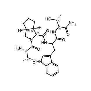 C[C@@H](O)[C@H](N)C(=O)N1C[C@@H]2CCC[C@@H]2[C@H]1C(=O)NC(Cc1c[nH]c2ccccc12)C(=O)N[C@H](C(N)=O)[C@@H](C)O